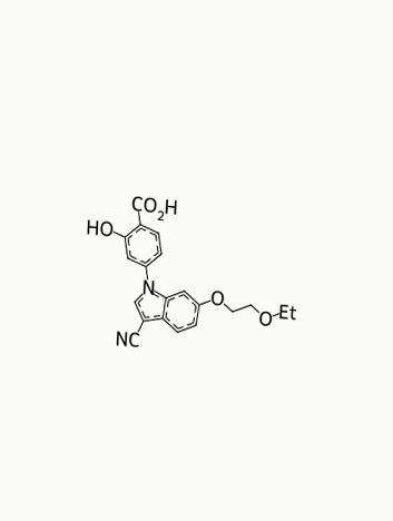 CCOCCOc1ccc2c(C#N)cn(-c3ccc(C(=O)O)c(O)c3)c2c1